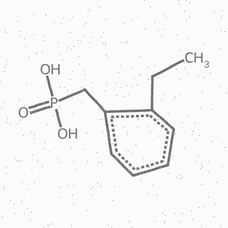 CCc1ccccc1CP(=O)(O)O